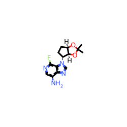 CC1(C)O[C@H]2[C@H](n3cnc4c(N)cnc(F)c43)CC[C@H]2O1